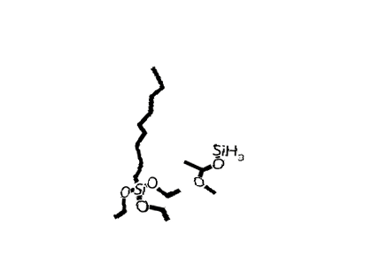 CCCCCCCCC[Si](OCC)(OCC)OCC.COC(C)O[SiH3]